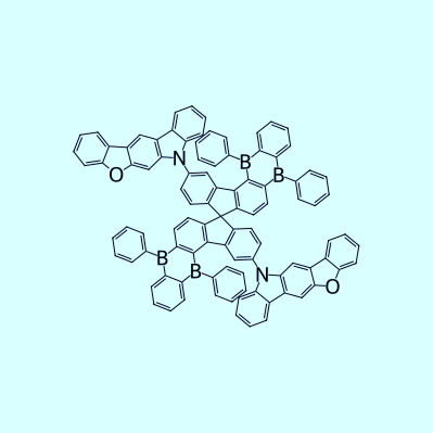 c1ccc(B2c3ccccc3B(c3ccccc3)c3c2ccc2c3-c3cc(-n4c5ccccc5c5cc6c(cc54)oc4ccccc46)ccc3C23c2ccc(-n4c5ccccc5c5cc6oc7ccccc7c6cc54)cc2-c2c3ccc3c2B(c2ccccc2)c2ccccc2B3c2ccccc2)cc1